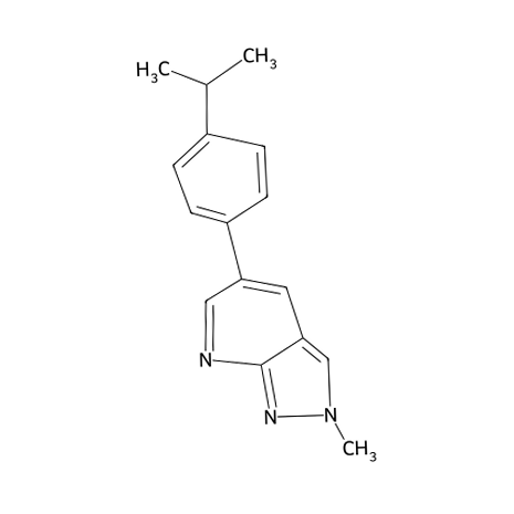 CC(C)c1ccc(-c2cnc3nn(C)cc3c2)cc1